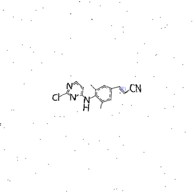 Cc1cc(/C=C/C#N)cc(C)c1Nc1ccnc(Cl)n1